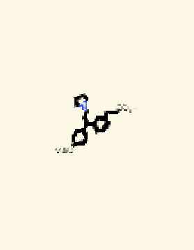 COc1ccc(/C(=C/CN2CCCC2)c2cccc(/C=C/C(=O)O)c2)cc1